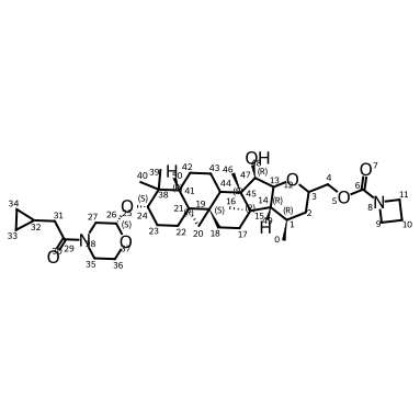 C[C@@H]1CC(COC(=O)N2CCC2)OC2[C@H]1[C@@]1(C)CC[C@@]34C[C@@]35CC[C@H](O[C@H]3CN(C(=O)CC6CC6)CCO3)C(C)(C)[C@@H]5CCC4[C@]1(C)[C@H]2O